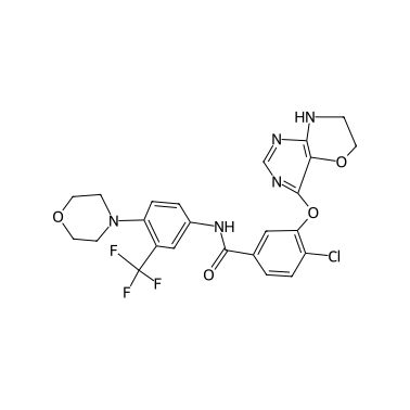 O=C(Nc1ccc(N2CCOCC2)c(C(F)(F)F)c1)c1ccc(Cl)c(Oc2ncnc3c2OCCN3)c1